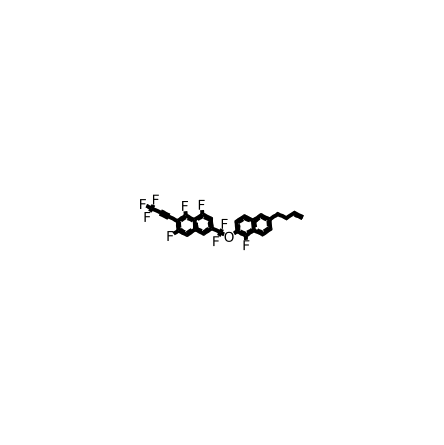 C=CCCc1ccc2c(F)c(OC(F)(F)c3cc(F)c4c(F)c(C#CC(F)(F)F)c(F)cc4c3)ccc2c1